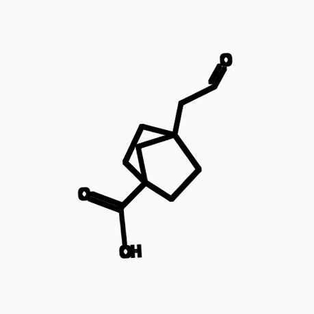 O=CCC12CCC(C(=O)O)(CC1)C2